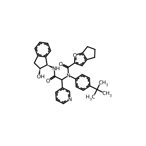 CC(C)(C)c1ccc(N(C(=O)c2cc3c(o2)CCC3)C(C(=O)N[C@@H]2c3ccccc3C[C@@H]2O)c2cccnc2)cc1